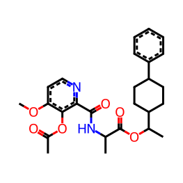 COc1ccnc(C(=O)NC(C)C(=O)OC(C)C2CCC(c3ccccc3)CC2)c1OC(C)=O